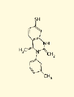 C=C1Nc2cc(S)ccc2C(=C)N1c1cccc(C)c1